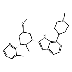 CO[C@H]1C[C@H](c2nc3cccc(N4CCN(C)CC4)c3[nH]2)N(C)[C@H](c2ncccc2C)C1